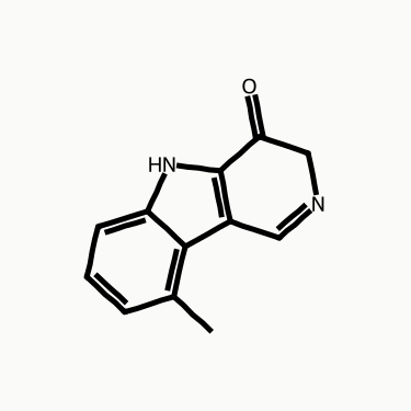 Cc1cccc2[nH]c3c(c12)C=NCC3=O